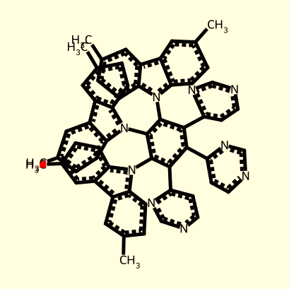 Cc1ccc2c(c1)c1cc(C)ccc1n2-c1c(-c2ccncn2)c(-c2ccncn2)c(-c2ccncn2)c(-n2c3ccc(C)cc3c3cc(C)ccc32)c1-n1c2ccc(C)cc2c2cc(C)ccc21